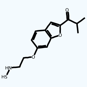 CC(C)C(=O)c1cc2ccc(OCCNS)cc2o1